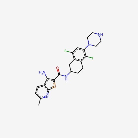 Cc1ccc2c(N)c(C(=O)NC3CCc4c(F)c(N5CCNCC5)cc(F)c4C3)sc2n1